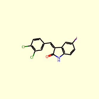 O=C1Nc2ccc(I)cc2C1=Cc1ccc(Cl)c(Cl)c1